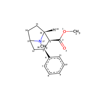 COC(=O)[C@H]1[C@@H](c2ccccc2)CC2CC[C@H]1N2C